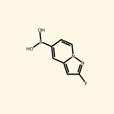 OB(O)c1ccn2nc(F)cc2c1